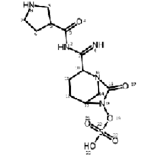 N=C(NC(=O)C1CCNC1)C1CCC2CN1C(=O)N2OS(=O)(=O)O